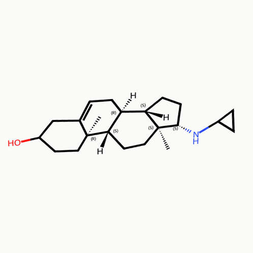 C[C@]12CC[C@H]3[C@@H](CC=C4CC(O)CC[C@@]43C)[C@@H]1CC[C@@H]2NC1CC1